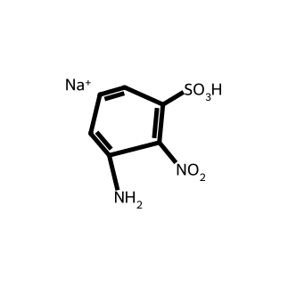 Nc1cccc(S(=O)(=O)O)c1[N+](=O)[O-].[Na+]